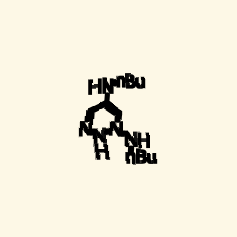 CCCCNC1=CN(NCCCC)NN=C1